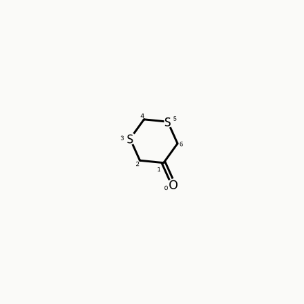 O=C1CSCSC1